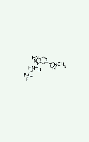 Cn1cc(-c2ccc3[nH]nc(C(=O)NCCC(F)(F)F)c3c2)cn1